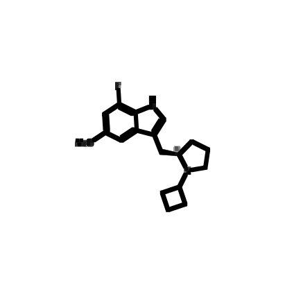 COc1cc(F)c2[nH]cc(C[C@H]3CCCN3C3CCC3)c2c1